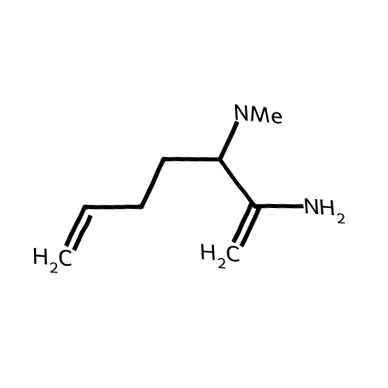 C=CCCC(NC)C(=C)N